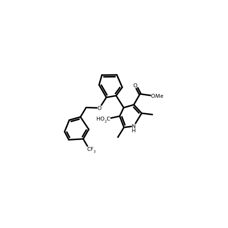 COC(=O)C1=C(C)NC(C)=C(C(=O)O)C1c1ccccc1OCc1cccc(C(F)(F)F)c1